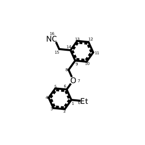 CCc1ccccc1OCc1ccccc1CC#N